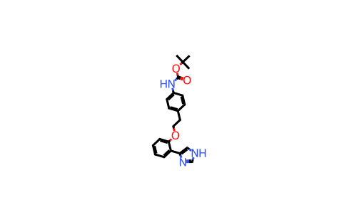 CC(C)(C)OC(=O)Nc1ccc(CCOc2ccccc2-c2c[nH]cn2)cc1